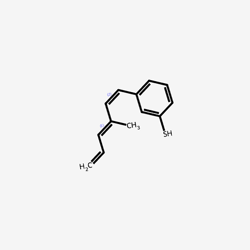 C=C/C=C(C)/C=C\c1cccc(S)c1